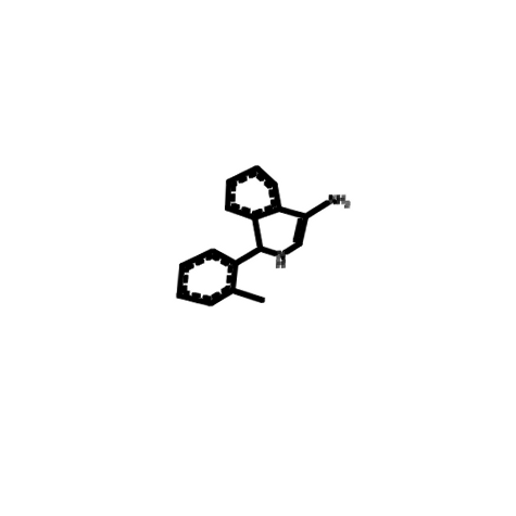 Cc1ccccc1C1NC=C(N)c2ccccc21